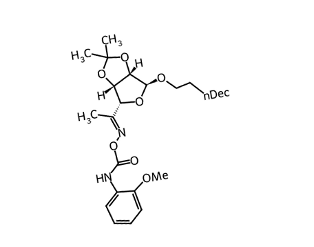 CCCCCCCCCCCCO[C@H]1O[C@H](/C(C)=N/OC(=O)Nc2ccccc2OC)[C@@H]2OC(C)(C)O[C@H]12